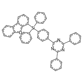 c1ccc(-c2nc(-c3ccccc3)nc(-c3ccc([Si](c4ccccc4)(c4ccccc4)c4cccc5c4oc4ccccc45)cc3)n2)cc1